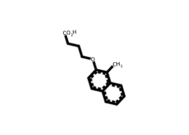 Cc1c(OCCCC(=O)O)ccc2ccccc12